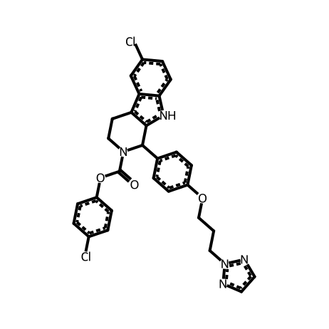 O=C(Oc1ccc(Cl)cc1)N1CCc2c([nH]c3ccc(Cl)cc23)C1c1ccc(OCCCn2nccn2)cc1